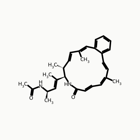 CC(=O)N[C@H](C)/C=C(\C)[C@@H]1NC(=O)/C=C/C=C(C)\C=C\c2ccccc2/C=C(C)/C=C/[C@H]1C